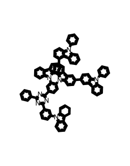 C1=Cc2c(c3ccccc3n2-c2cccc(-c3nc(-c4ccccc4)nc(-c4ccc(-n5c6ccc(-c7ccc8c(c7)c7ccccc7n8-c7ccccc7)cc6c6cc(-c7cccc8c7c7ccccc7n8-c7ccccc7)ccc65)c(-n5c6ccccc6c6ccccc65)c4)n3)c2)CC1